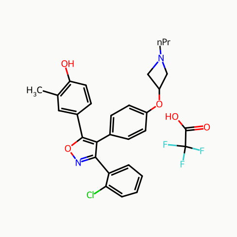 CCCN1CC(Oc2ccc(-c3c(-c4ccccc4Cl)noc3-c3ccc(O)c(C)c3)cc2)C1.O=C(O)C(F)(F)F